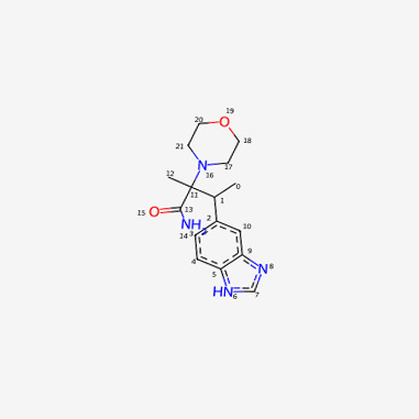 CC(c1ccc2[nH]cnc2c1)C(C)(C(N)=O)N1CCOCC1